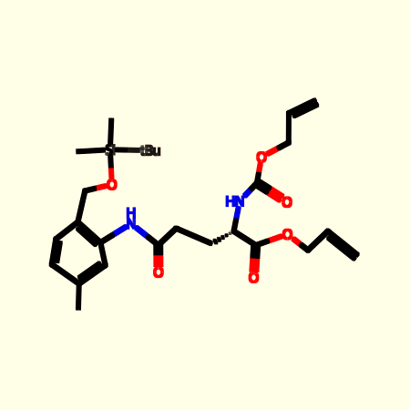 C=CCOC(=O)N[C@@H](CCC(=O)Nc1cc(C)ccc1CO[Si](C)(C)C(C)(C)C)C(=O)OCC=C